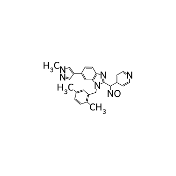 Cc1ccc(C)c(Cn2c(C(N=O)c3ccncc3)nc3ccc(-c4cnn(C)c4)cc32)c1